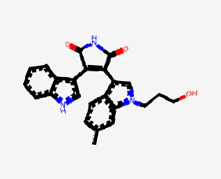 Cc1ccc2c(C3=C(c4c[nH]c5ccccc45)C(=O)NC3=O)cn(CCCO)c2c1